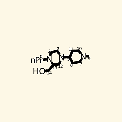 CCCN1CCN(C2CCN(C)CC2)CC1CO